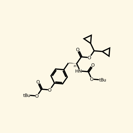 CC(C)(C)OC(=O)N[C@H](Cc1ccc(OC(=O)OC(C)(C)C)cc1)C(=O)OC(C1CC1)C1CC1